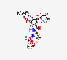 CCOP(=O)(Cc1csc(NC(=O)c2cc(Oc3ccccc3)cc(O[C@@H](C)COC)c2)n1)OCC